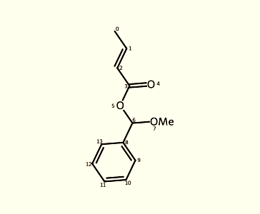 CC=CC(=O)OC(OC)c1ccccc1